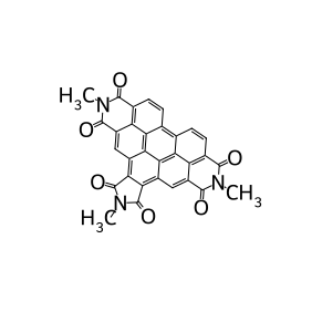 Cn1c(=O)c2ccc3c4ccc5c(=O)n(C)c(=O)c6cc7c8c(=O)n(C)c(=O)c8c8cc(c1=O)c2c3c8c7c4c56